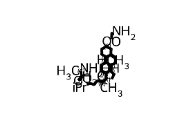 CC(C)C(CC[C@@H](C)[C@H]1CC[C@H]2[C@@H]3CC=C4C[C@@H](OC(=O)CN)CC[C@]4(C)[C@H]3CC[C@]12C)OC(=O)[C@H](C)N